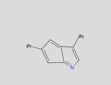 CC(C)C1=CC2=NC=C(C(C)C)C2=C1